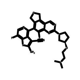 CN(C)CCO[C@@H]1CCN(c2ncc3c4c(c(-c5ncc(F)c6sc(N)c(C#N)c56)c(F)c3n2)COC4)C1